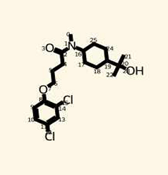 CN(C(=O)CCCOc1ccc(Cl)cc1Cl)C1CCC(C(C)(C)O)CC1